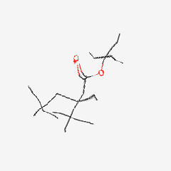 CC(C)(C)CC(C)(C(=O)OC(C)(C)C)C(C)(C)C